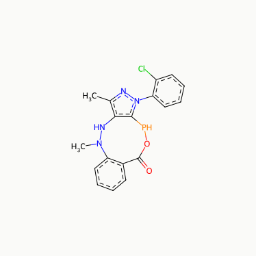 Cc1nn(-c2ccccc2Cl)c2c1NN(C)c1ccccc1C(=O)OP2